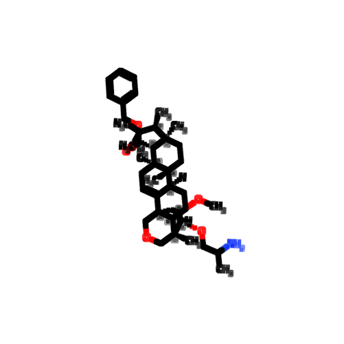 CO[C@@H]1C[C@@]23COC[C@](C)([C@@H]2CC[C@H]2C3=CC[C@@]3(C)[C@H](C(=O)OCc4ccccc4)[C@@](C)([C@H](C)C(C)C)CC[C@]23C)[C@H]1OCC(C)N